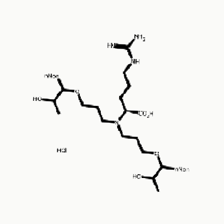 CCCCCCCCCC(OCCCN(CCCOC(CCCCCCCCC)C(C)O)[C@@H](CCCNC(=N)N)C(=O)O)C(C)O.Cl